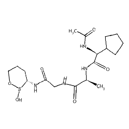 CC(=O)N[C@H](C(=O)N[C@@H](C)C(=O)NCC(=O)N[C@H]1CCCOB1O)C1CCCC1